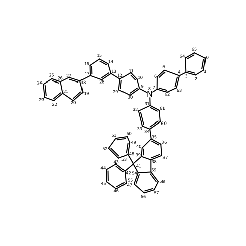 c1ccc(-c2ccc(N(c3ccc(-c4cccc(-c5ccc6ccccc6c5)c4)cc3)c3ccc(-c4ccc5c(c4)C(c4ccccc4)(c4ccccc4)c4ccccc4-5)cc3)cc2)cc1